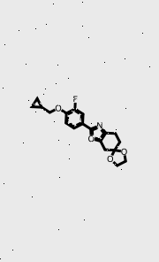 Fc1cc(-c2nc3c(o2)CC2(CC3)OCCO2)ccc1OCC1CC1